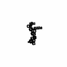 COC(=O)C1=C(c2ccc(N3CC[C@H](Oc4c(Cl)cc(C)cc4Cl)C3)nc2)CCN(C(=O)OC(C)(C)C)C1